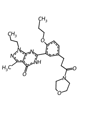 CCCOc1ccc(CCC(=O)N2CCOCC2)cc1-c1nc2c(c(C)nn2CCC)c(=O)[nH]1